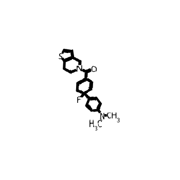 CN(C)c1ccc(C2(F)C=CC(C(=O)N3CCc4sccc4C3)=CC2)cc1